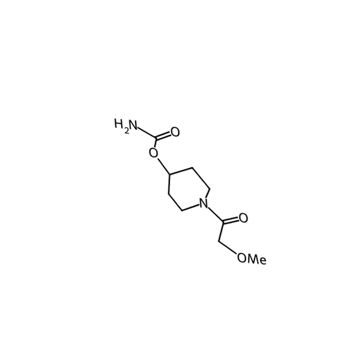 COCC(=O)N1CCC(OC(N)=O)CC1